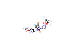 COC(=O)c1ccc(Cn2c(=O)n(C3CCCN(C(=O)OC(C)(C)C)C3)c3cc(Br)c(F)cc32)nc1